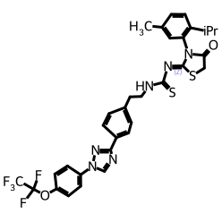 Cc1ccc(C(C)C)c(N2C(=O)CS/C2=N\C(=S)NCCc2ccc(-c3ncn(-c4ccc(OC(F)(F)C(F)(F)F)cc4)n3)cc2)c1